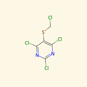 ClCSc1c(Cl)nc(Cl)nc1Cl